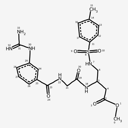 COC(=O)CC(CNS(=O)(=O)c1ccc(C)cc1)NC(=O)CNC(=O)c1cccc(NC(=N)N)c1